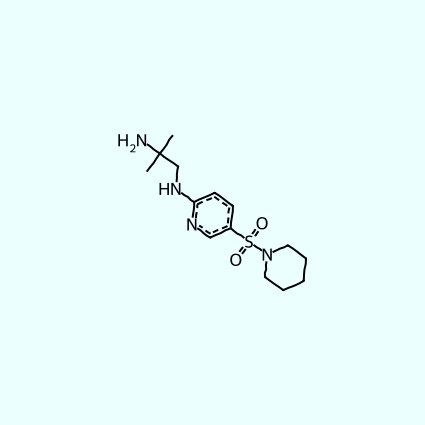 CC(C)(N)CNc1ccc(S(=O)(=O)N2CCCCC2)cn1